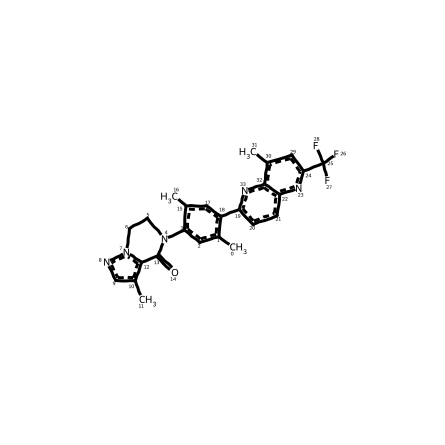 Cc1cc(N2CCn3ncc(C)c3C2=O)c(C)cc1-c1ccc2nc(C(F)(F)F)cc(C)c2n1